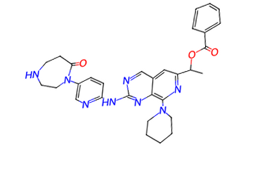 CC(OC(=O)c1ccccc1)c1cc2cnc(Nc3ccc(N4CCNCCC4=O)cn3)nc2c(N2CCCCC2)n1